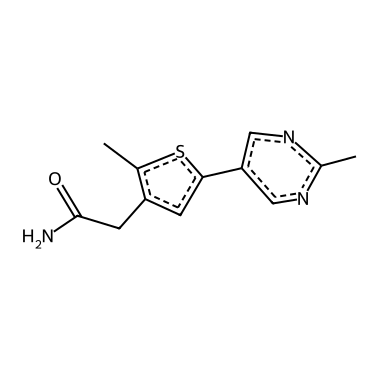 Cc1ncc(-c2cc(CC(N)=O)c(C)s2)cn1